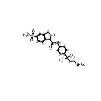 CC(=O)NCCC(c1ccc(NC(=O)C2NCc3cc(S(C)(=O)=O)ccc32)cc1)(C(F)(F)F)C(F)(F)F